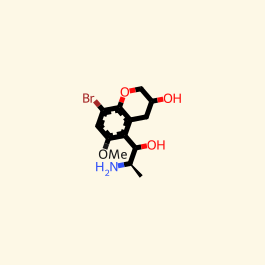 COc1cc(Br)c2c(c1C(O)[C@@H](C)N)CC(O)CO2